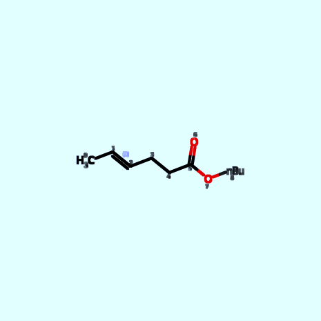 C/C=C/CCC(=O)OCCCC